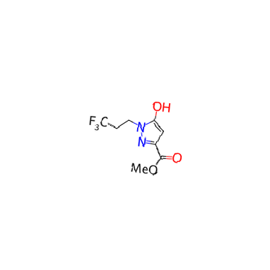 COC(=O)c1cc(O)n(CCC(F)(F)F)n1